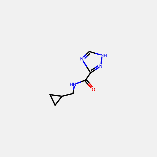 O=C(NCC1CC1)c1nc[nH]n1